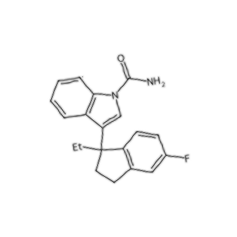 CCC1(c2cn(C(N)=O)c3[c]cccc23)CCc2cc(F)ccc21